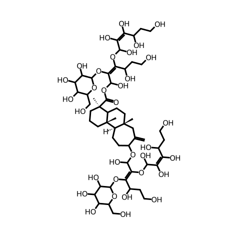 C=C1C[C@@]2(C)CCC3[C@](C)(C(=O)OC(O)/C(OC4OC(CO)C(O)C(O)C4O)=C(/OC(O)/C(O)=C(/O)C(O)CCO)C(O)CCO)CCC[C@@]3(C)[C@@H]2CCC1OC(O)/C(OC(O)/C(O)=C(/O)C(O)CCO)=C(\OC1OC(CO)C(O)C(O)C1O)C(O)CCO